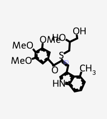 COc1cc(C(=O)/C(=C\c2c[nH]c3cccc(C)c23)SCC(O)CO)cc(OC)c1OC